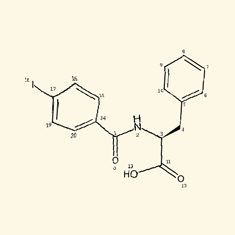 O=C(N[C@@H](Cc1ccccc1)C(=O)O)c1ccc(I)cc1